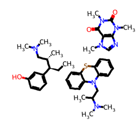 CC(CN1c2ccccc2Sc2ccccc21)N(C)C.CC[C@@H](c1cccc(O)c1)[C@@H](C)CN(C)C.Cn1c(=O)c2c(ncn2C)n(C)c1=O